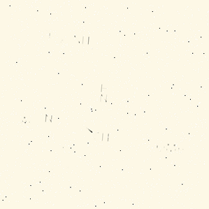 COc1ccc(N[C@H]2c3cc(C(N)=O)ccc3N(C(C)=O)[C@@H](C3CC3)[C@@H]2C)cc1